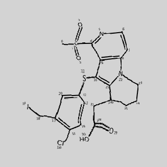 CS(=O)(=O)c1nccc2c1c(Sc1ccc(Cl)c(CI)c1)c1n2CCCC1CC(=O)O